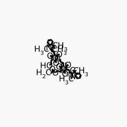 C=CC(=O)OCCN1C(=O)/C(=C\C=C2\N(C)c3ccccc3C2(C)C)C(=O)N(CCCN2C(=O)/C(=C/C=C3/N(C)c4ccccc4C3(C)C)C(=O)N(CCO)C2=O)C1=O